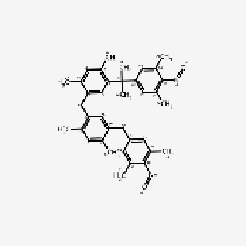 Cc1cc(C)c(Cc2cc(C(C)(C)c3cc(C)c(N=O)c(C)c3)c(C)cc2C)cc1Cc1cc(C)c(N=O)c(C)c1